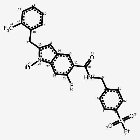 CCS(=O)(=O)c1ccc(CNC(=O)c2cc3cc(Cc4ccccc4C(F)(F)F)n(C(C)C)c3cc2F)cc1